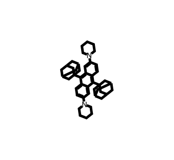 c1cc2c(C34CC5CC(CC(C5)C3)C4)c3cc(N4CCCCC4)ccc3c(C34CC5CC(CC(C5)C3)C4)c2cc1N1CCCCC1